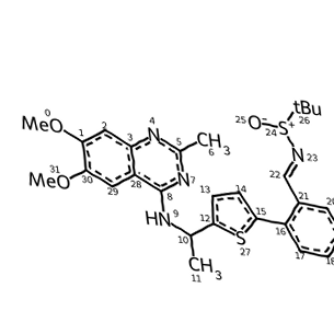 COc1cc2nc(C)nc(NC(C)c3ccc(-c4ccccc4/C=N/[S+]([O-])C(C)(C)C)s3)c2cc1OC